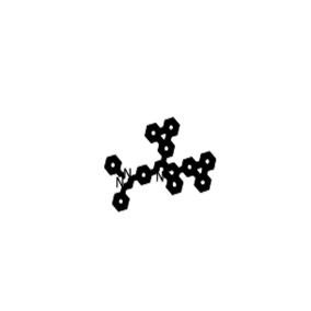 c1ccc(-c2cc(-c3ccc(-c4cc(-c5ccc6c7ccccc7c7ccccc7c6c5)c5cc(-c6ccc7c8ccccc8c8ccccc8c7c6)c6ccccc6c5n4)cc3)nc(-c3ccccc3)n2)cc1